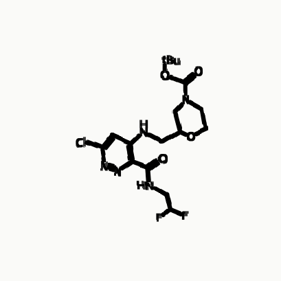 CC(C)(C)OC(=O)N1CCOC(CNc2cc(Cl)nnc2C(=O)NCC(F)F)C1